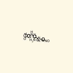 CC1(C)OC(=O)c2cnc(Nc3cc(N)c(-c4nc(C56CCC(N=O)(CC5)C6)no4)cn3)cc21